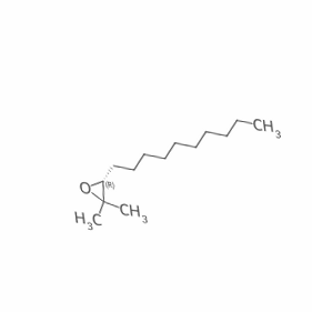 CCCCCCCCCC[C@H]1OC1(C)C